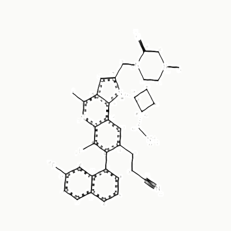 Cc1nc2c(F)c(-c3cccc4ccc(F)cc34)c(CCC#N)cc2c2c1cc(CN1CCN(C)CC1=O)n2[C@@H]1CC[C@@H]1CN